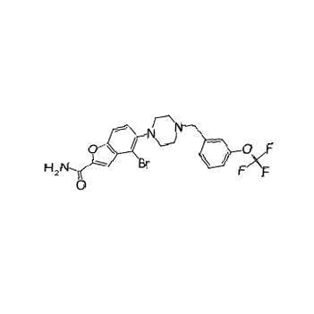 NC(=O)c1cc2c(Br)c(N3CCN(Cc4cccc(OC(F)(F)F)c4)CC3)ccc2o1